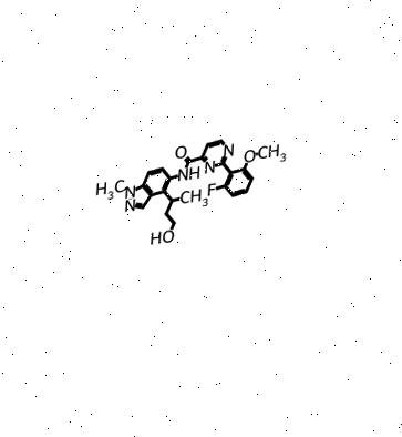 COc1cccc(F)c1-c1nccc(C(=O)Nc2ccc3c(cnn3C)c2C(C)CCO)n1